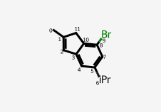 CC1=Cc2cc(C(C)C)cc(Br)c2C1